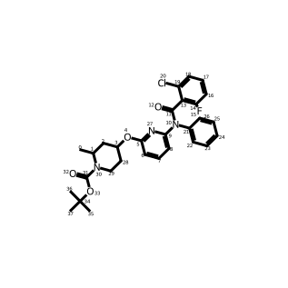 CC1CC(Oc2cccc(N(C(=O)c3c(F)cccc3Cl)c3ccccc3)n2)CCN1C(=O)OC(C)(C)C